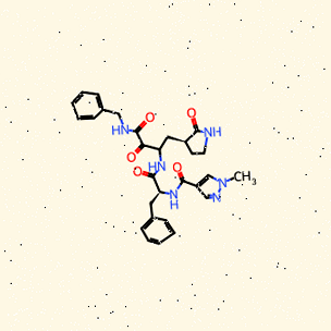 Cn1cc(C(=O)N[C@@H](Cc2ccccc2)C(=O)NC(C[C@@H]2CCNC2=O)C(=O)C(=O)NCc2ccccc2)cn1